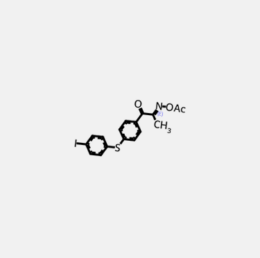 CC(=O)O/N=C(\C)C(=O)c1ccc(Sc2ccc(I)cc2)cc1